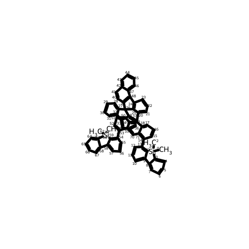 C[Si]1(C)c2ccccc2-c2cccc(-c3cccc4c(-c5cccc6c5C5(c7ccccc7-c7ccccc75)c5ccc7ccccc7c5-6)c5cccc(-c6cccc7c6[Si](C)(C)c6ccccc6-7)c5cc34)c21